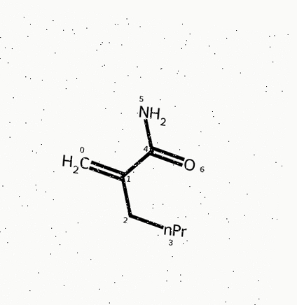 C=C(CCCC)C(N)=O